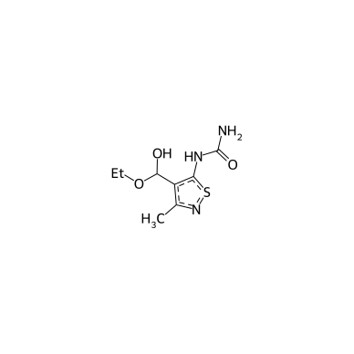 CCOC(O)c1c(C)nsc1NC(N)=O